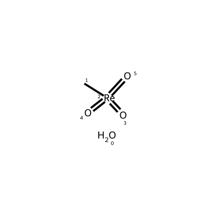 O.[CH3][Re](=[O])(=[O])=[O]